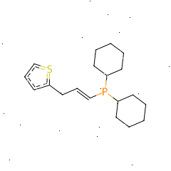 C(=CP(C1CCCCC1)C1CCCCC1)Cc1cccs1